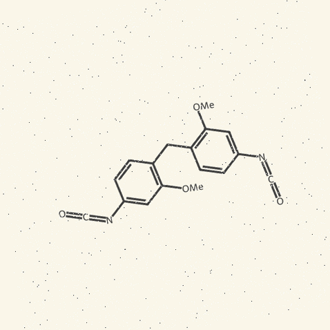 COc1cc(N=C=O)ccc1Cc1ccc(N=C=O)cc1OC